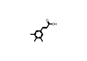 Cc1cc(C=CC(=O)O)cc(C)c1C